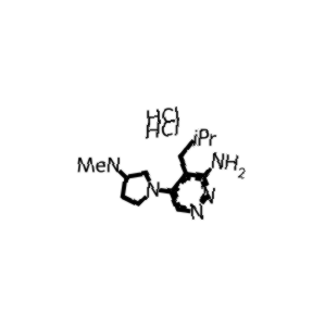 CNC1CCN(c2cnnc(N)c2CC(C)C)C1.Cl.Cl